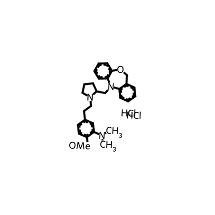 COc1ccc(CCN2CCCC2CN2c3ccccc3COc3ccccc32)cc1N(C)C.Cl.Cl